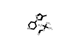 CC(C)(C)OC=O.Ic1cnn(C2CCNCC2)c1